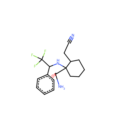 N#CCC1CCCCC1(NC(c1ccccc1)C(F)(F)F)C(N)=O